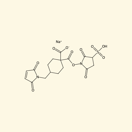 O=C1C=CC(=O)N1CC1CCC(C(=O)[O-])(C(=O)ON2C(=O)CC(S(=O)(=O)O)C2=O)CC1.[Na+]